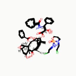 CC(=O)O[C@H]1C(=O)[C@@]2(C)[C@H]([C@H](OC(=O)c3ccccc3)[C@]3(O)C[C@H](OC(=O)[C@H](O)[C@@H](NC(=O)c4ccccc4)c4ccccc4)C(C)=C1C3(C)C)[C@]1(OC(C)=O)CO[C@@H]1C[C@@H]2O.O=P1(NCCCl)OCCCN1CCCl